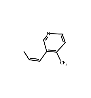 C/C=C\c1cn[c]cc1C(F)(F)F